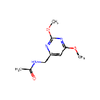 COc1cc(CNC(C)=O)nc(OC)n1